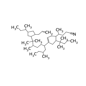 C=CCC1CC(C(C)CC)CC1C(C)(C)C(C)CCC(CC(C)CC)C1=CCC(C(C)CCC#N)C(C(C)(C)CCC)C1